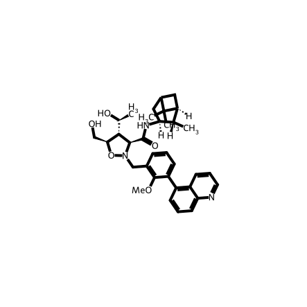 COc1c(CN2O[C@@H](CO)[C@H]([C@H](C)O)[C@H]2C(=O)N[C@H]2CC3C[C@@H]([C@@H]2C)C3(C)C)cccc1-c1cccc2ncccc12